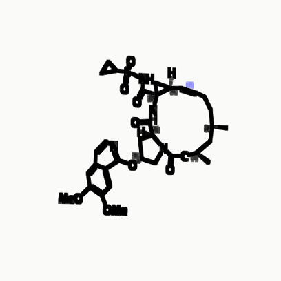 COc1cc2ccnc(O[C@@H]3C[C@H]4C(=O)N[C@]5(C(=O)NS(=O)(=O)C6CC6)C[C@H]5/C=C\CC[C@@H](C)C[C@@H](C)CC(=O)N4C3)c2cc1OC